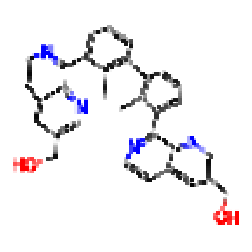 Cc1c(-c2cccc(-c3nccc4cc(CO)cnc34)c2C)cccc1-c1nccc2cc(CO)cnc12